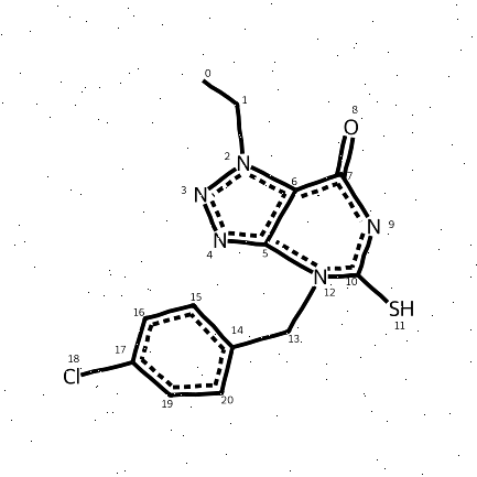 CCn1nnc2c1c(=O)nc(S)n2Cc1ccc(Cl)cc1